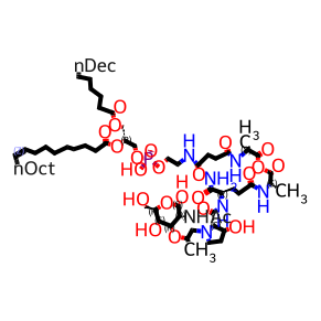 CCCCCCCC/C=C\CCCCCCCC(=O)O[C@H](COC(=O)CCCCCCCCCCCCCCC)COP(=O)(O)OCCNC(=O)CCC(=O)N[C@@H](C)C(=O)OC(=O)[C@H](C)NC(=O)CC[C@@H](NC(=O)[C@@H]1C(O)CCN1CC(C)O[C@H]1[C@H](O)[C@@H](CO)O[C@H](O)[C@@H]1NC(C)=O)C(N)=O